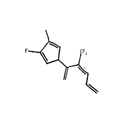 C=C/C=C(\C(=C)C1C=C(C)C(F)=C1)C(F)(F)F